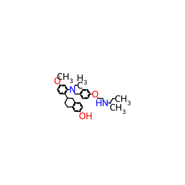 CCC(C)NCCOc1ccc(CN(CC)c2cc(OC)ccc2C2CCc3cc(O)ccc3C2)cc1